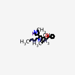 C=C(/C(=C\CCC)CC(=O)c1ccccc1)C1CC(c2cc(C)nc(I)c2)=C(C/C=C\C=C/CC)N=C1C